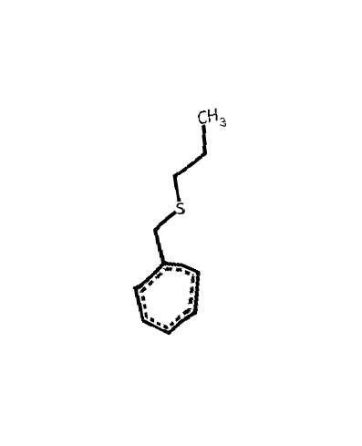 CCCSCc1ccccc1